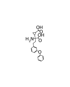 NC(CCc1cccc(Oc2ccccc2)c1)(C(=O)O)C1CC1C(=O)O